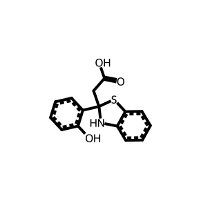 O=C(O)CC1(c2ccccc2O)Nc2ccccc2S1